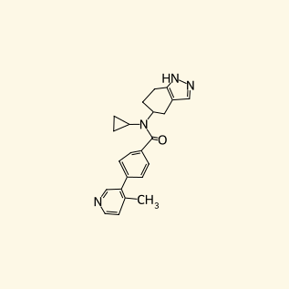 Cc1ccncc1-c1ccc(C(=O)N(C2CC2)C2CCc3[nH]ncc3C2)cc1